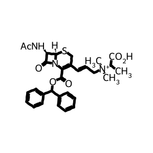 CC(=O)N[C@@H]1C(=O)N2C(C(=O)OC(c3ccccc3)c3ccccc3)=C(/C=C/C[N+](C)(C)C(C)C(=O)O)CS[C@H]12